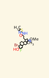 CO/N=C1\CC(CCC(=O)Nc2ncc(C)s2)C2C3CCc4c(cc(F)c(O)c4Br)C3CCC12C